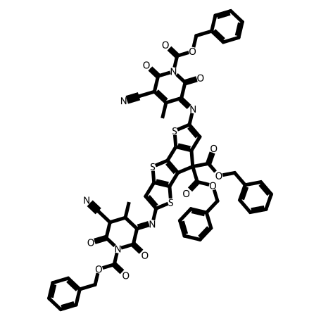 CC1=C(C#N)C(=O)N(C(=O)OCc2ccccc2)C(=O)/C1=N/c1cc2c(s1)-c1sc3cc(/N=C4/C(=O)N(C(=O)OCc5ccccc5)C(=O)C(C#N)C4C)sc3c1C2(C(=O)OCc1ccccc1)C(=O)OCc1ccccc1